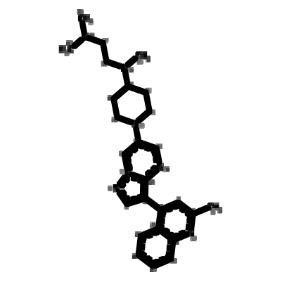 Cc1cc(-c2cnn3cc(N4CCC(N(C)CCN(C)C)CC4)cnc23)c2ccccc2n1